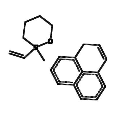 C1=Cc2cccc3cccc(c23)C1.C=C[Si]1(C)CCCCO1